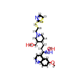 COc1ccc2nccc([C@@H](CC[C@@H]3CCN(CCSc4nccs4)C[C@@H]3CO)NO)c2c1